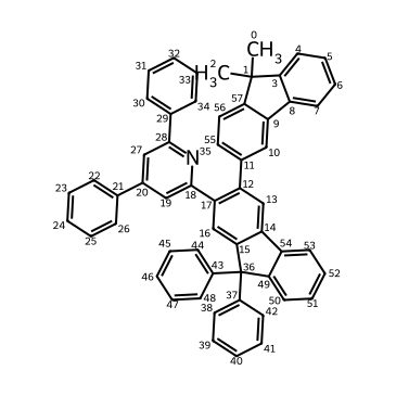 CC1(C)c2ccccc2-c2cc(-c3cc4c(cc3-c3cc(-c5ccccc5)cc(-c5ccccc5)n3)C(c3ccccc3)(c3ccccc3)c3ccccc3-4)ccc21